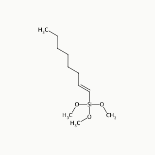 CCCCCCC=C[Si](OC)(OC)OC